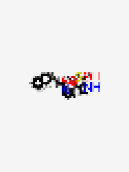 O=C(C1CCN[C@@H]1C(O)=S)[C@@H]1CCCN1C(=O)CC[C@H]1CCc2ccccc2C1